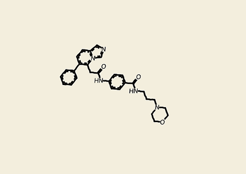 O=C(Cc1c(-c2ccccc2)ccc2cncn12)Nc1ccc(C(=O)NCCCN2CCOCC2)cc1